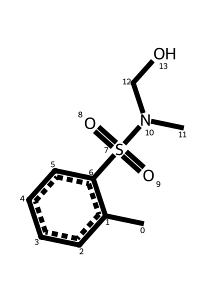 Cc1ccccc1S(=O)(=O)N(C)CO